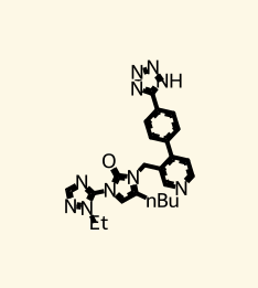 CCCCc1cn(-c2ncnn2CC)c(=O)n1Cc1cnccc1-c1ccc(-c2nnn[nH]2)cc1